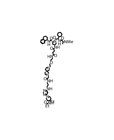 CCC(=O)NC1(CC)CCN(c2cc(NCCCNC(=O)CN3CC[C@]4(CCN(CCOCCNC(=O)CCC(=O)N[C@H]5C[C@@H](C(=O)N[C@H]6CCCc7ccccc76)N(C(=O)[C@@H](NC(=O)[C@H](C)NC)C6CCCCC6)C5)C4)C3)ncn2)CC1